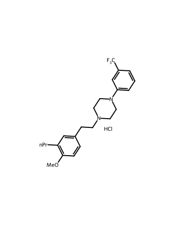 CCCc1cc(CCN2CCN(c3cccc(C(F)(F)F)c3)CC2)ccc1OC.Cl